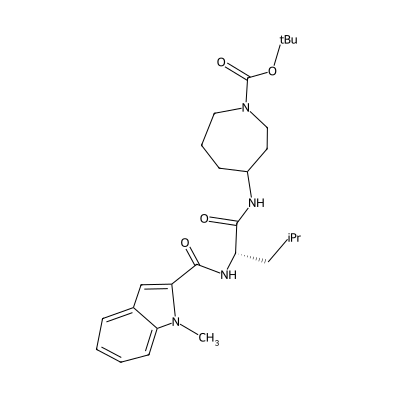 CC(C)C[C@H](NC(=O)c1cc2ccccc2n1C)C(=O)NC1CCCN(C(=O)OC(C)(C)C)CC1